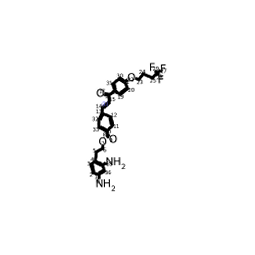 Nc1ccc(CCOC(=O)c2ccc(/C=C/C(=O)c3ccc(OCCCC(F)(F)F)cc3)cc2)c(N)c1